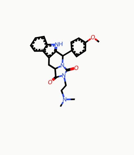 COc1ccc(C2c3[nH]c4ccccc4c3CC3C(=O)N(CCN(C)C)C(=O)N32)cc1